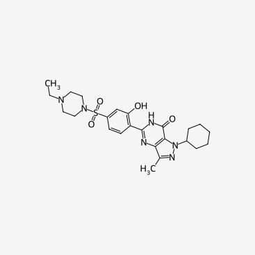 CCN1CCN(S(=O)(=O)c2ccc(-c3nc4c(C)nn(C5CCCCC5)c4c(=O)[nH]3)c(O)c2)CC1